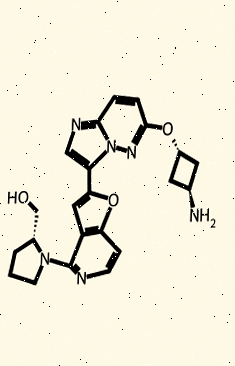 N[C@H]1C[C@H](Oc2ccc3ncc(-c4cc5c(N6CCC[C@@H]6CO)nccc5o4)n3n2)C1